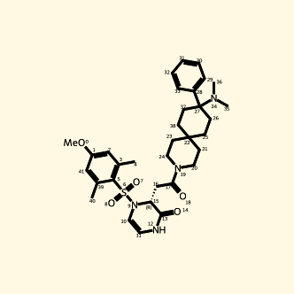 COc1cc(C)c(S(=O)(=O)N2C=CNC(=O)[C@H]2CC(=O)N2CCC3(CC2)CCC(c2ccccc2)(N(C)C)CC3)c(C)c1